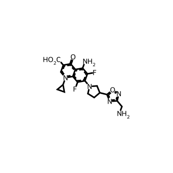 NCc1noc(C2CCN(c3c(F)c(N)c4c(=O)c(C(=O)O)cn(C5CC5)c4c3F)C2)n1